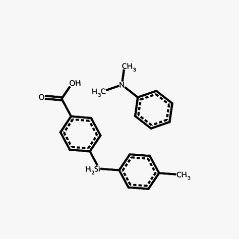 CN(C)c1ccccc1.Cc1ccc([SiH2]c2ccc(C(=O)O)cc2)cc1